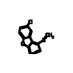 C=Bc1cccc2oc3ccc(Cl)cc3c12